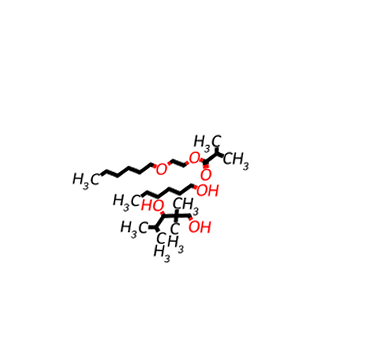 CC(C)C(O)C(C)(C)CO.CCCCCCO.CCCCCCOCCOC(=O)C(C)C